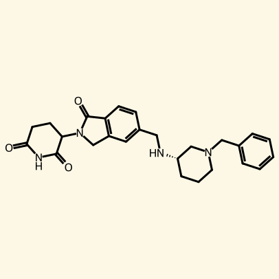 O=C1CCC(N2Cc3cc(CN[C@H]4CCCN(Cc5ccccc5)C4)ccc3C2=O)C(=O)N1